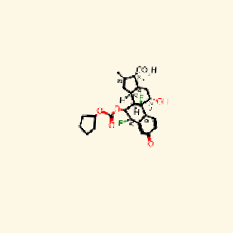 C[C@@H]1C[C@H]2[C@@H]3C(OC(=O)OC4CCCC4)[C@H](F)C4=CC(=O)C=C[C@]4(C)C3(F)[C@@H](O)C[C@]2(C)[C@@H]1C(=O)O